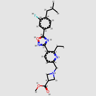 CCc1nc(CN2CC(C(=O)OC)C2)ccc1-c1noc(-c2ccc(CC(C)C)c(F)c2)n1